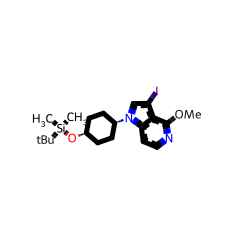 COc1nccc2c1c(I)cn2[C@H]1CC[C@@H](O[Si](C)(C)C(C)(C)C)CC1